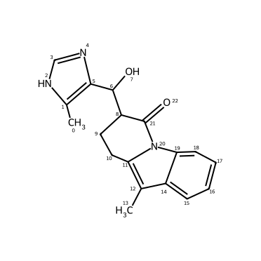 Cc1[nH]cnc1C(O)C1CCc2c(C)c3ccccc3n2C1=O